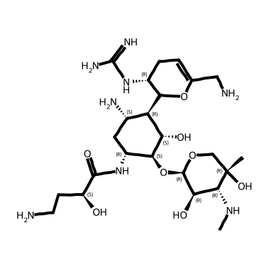 CN[C@@H]1[C@@H](O)[C@@H](O[C@@H]2[C@@H](O)[C@H](C3OC(CN)=CC[C@H]3NC(=N)N)[C@@H](N)C[C@H]2NC(=O)[C@@H](O)CCN)OC[C@]1(C)O